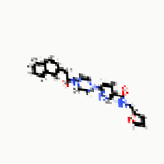 O=C(NCC1CCCO1)c1ccc(N2CCN(C(=O)Cc3ccc4ccccc4c3)CC2)nc1